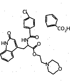 O=C(NC(Cc1cc(=O)[nH]c2ccccc12)C(=O)OCCN1CCOCC1)c1ccc(Cl)cc1.O=C(O)c1ccccc1